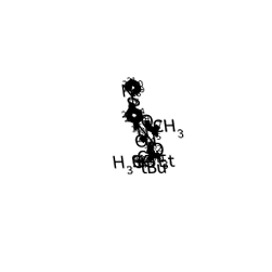 CC[C@H]1O[C@@H](n2cc(C)c(=O)n(Cc3ccc(SSc4ccccn4)cc3)c2=O)CC1O[Si](C)(C)C(C)(C)C